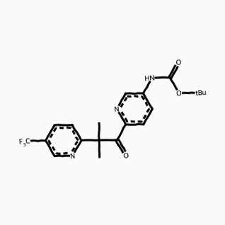 CC(C)(C)OC(=O)Nc1ccc(C(=O)C(C)(C)c2ccc(C(F)(F)F)cn2)nc1